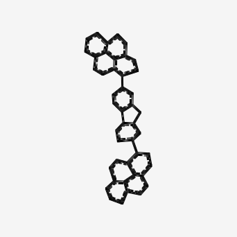 c1cc2ccc3ccc(-c4ccc5c(c4)Cc4cc(-c6ccc7ccc8cccc9ccc6c7c89)ccc4-5)c4ccc(c1)c2c34